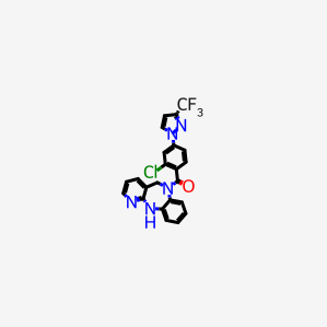 O=C(c1ccc(-n2ccc(C(F)(F)F)n2)cc1Cl)N1Cc2cccnc2Nc2ccccc21